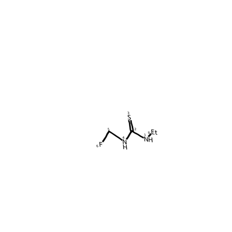 CCNC(=S)NCF